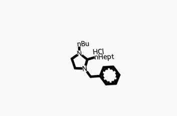 CCCCCCCC1N(CCCC)CCN1Cc1ccccc1.Cl